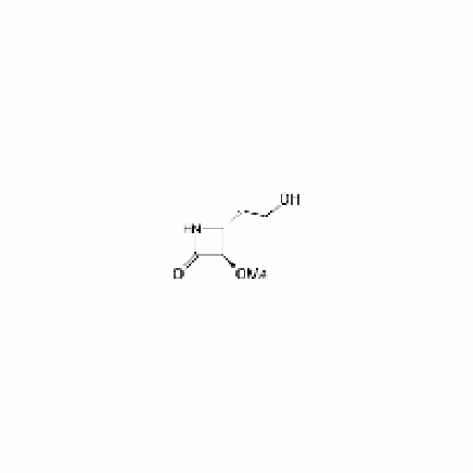 CO[C@H]1C(=O)N[C@@H]1CCO